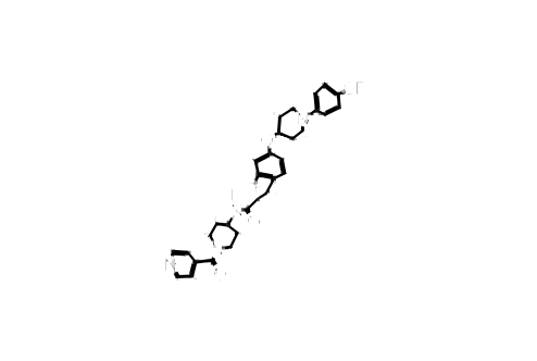 O=C(NC1CCN(C(=O)c2ccncc2)CC1)C1Cc2ccc(OC3CCN(c4ccc(C(F)(F)F)cc4)CC3)cc2O1